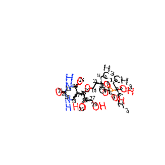 CCC(C)(O)P(=O)(O)O[C@](C)(CC)CCO[C@@H](c1c[nH]c(=O)[nH]c1=O)[C@H](O)CO